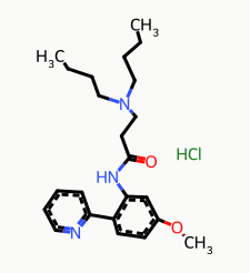 CCCCN(CCCC)CCC(=O)Nc1cc(OC)ccc1-c1ccccn1.Cl